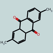 CC1=CC2C(=O)c3ccc(C)cc3C(=O)C2C=C1